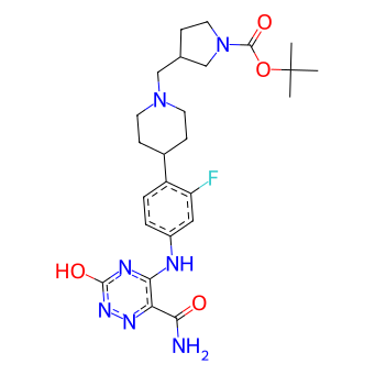 CC(C)(C)OC(=O)N1CCC(CN2CCC(c3ccc(Nc4nc(O)nnc4C(N)=O)cc3F)CC2)C1